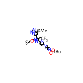 COc1cc(-c2c(CC(F)(F)F)c(-c3ccc(N4CC5(CN(C(=O)OC(C)(C)C)C5)C4)cn3)nn2COCC[Si](C)(C)C)cn2ncnc12